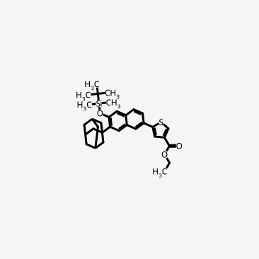 CCOC(=O)c1csc(-c2ccc3cc(O[Si](C)(C)C(C)(C)C)c(C45CC6CC(CC(C6)C4)C5)cc3c2)c1